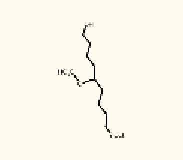 CCCCCCCCCCCCC(CCCCO)OC(=O)O